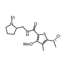 CCN1CCCC1CNC(=O)c1sc([S+](C)[O-])c(C)c1OC